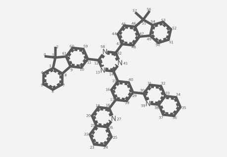 CC1(C)c2ccccc2-c2cc(-c3nc(-c4cc(-c5ccc6ccccc6n5)cc(-c5ccc6ccccc6n5)c4)nc(-c4ccc5c(c4)-c4ccccc4C5(C)C)n3)ccc21